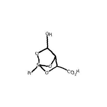 CC(C)[Si]12OC(O)C(O1)C(C(=O)O)O2